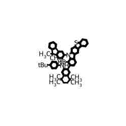 CC(C)(C)c1ccc(Nc2cc3c(cc2-c2ccc4c5cc6c(cc5n5c4c2Bc2cc4c(cc2-5)-c2ccccc2C4(C)C)sc2ccccc26)C(C)(C)CCC3(C)C)cc1